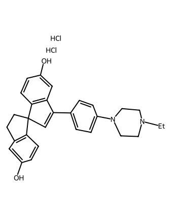 CCN1CCN(c2ccc(C3=CC4(CCc5cc(O)ccc54)c4ccc(O)cc43)cc2)CC1.Cl.Cl